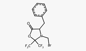 O=C1OC(C(F)(F)F)(C(F)(F)F)N(CBr)C1Cc1ccccc1